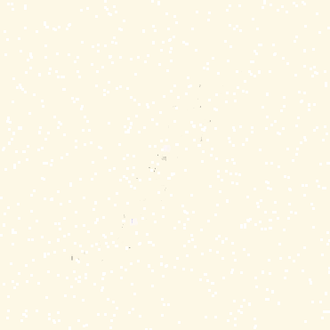 CCCCCCCCCCCCOc1ccc(/C=N/c2ccc(/C=C/C(=O)OCC(C)CC)cc2)cc1